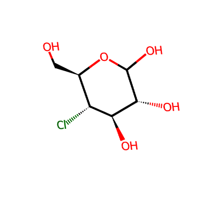 OC[C@H]1OC(O)[C@H](O)[C@@H](O)[C@@H]1Cl